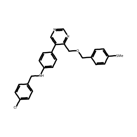 CSc1ccc(COCc2ncncc2-c2ccc(NCc3ccc(Cl)cc3)cc2)cc1